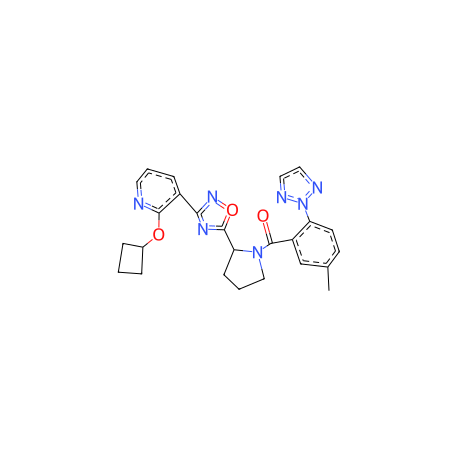 Cc1ccc(-n2nccn2)c(C(=O)N2CCCC2c2nc(-c3cccnc3OC3CCC3)no2)c1